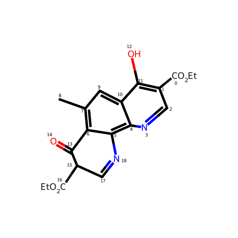 CCOC(=O)c1cnc2c3c(c(C)cc2c1O)C(=O)C(C(=O)OCC)C=N3